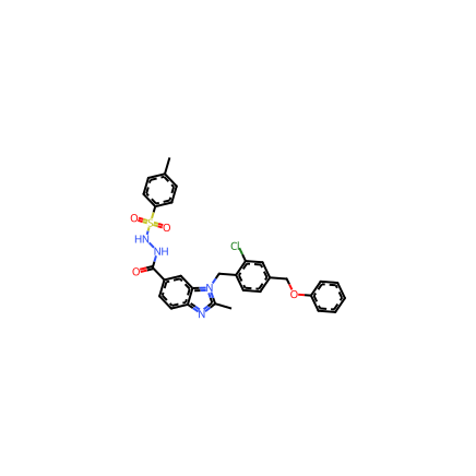 Cc1ccc(S(=O)(=O)NNC(=O)c2ccc3nc(C)n(Cc4ccc(COc5ccccc5)cc4Cl)c3c2)cc1